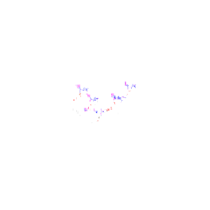 CC(C)Sc1cc(C=NO)nc2c1ccc1cccnc12.CCN(CC)CCOc1cc(C=NO)nc2c1ccc1cccnc12.COCCOc1cc(C=NO)nc2c1ccc1cccnc12.COCCSc1cc(C=NO)nc2c1ccc1cccnc12.NCCOc1cc(C=NO)nc2c1ccc1cccnc12